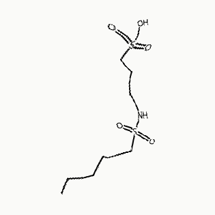 CCCCCS(=O)(=O)NCCCS(=O)(=O)O